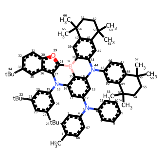 Cc1ccc(N(c2ccccc2)c2cc3c4c(c2)N(c2cc(C(C)(C)C)cc(C(C)(C)C)c2)c2c(oc5ccc(C(C)(C)C)cc25)B4c2cc4c(cc2N3c2ccc3c(c2)C(C)(C)CCC3(C)C)C(C)(C)CCC4(C)C)cc1